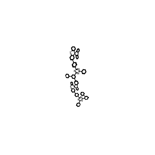 c1ccc(-c2cc(-c3ccc4c(c3)C3(c5ccccc5Sc5ccc(-c6ccc(-c7nc(-c8ccccc8)nc(-c8ccccc8-c8ccccc8)n7)cc6)cc53)c3ccccc3-4)cc(-c3nc(-c4ccccc4)nc(-c4ccc(-c5ccc6c(c5)C5(c7ccccc7S6)c6ccccc6-c6ccccc65)cc4)n3)c2)cc1